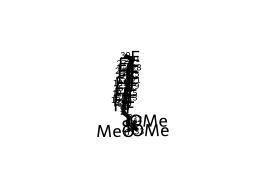 CO[Si](CCCC(F)(F)C(F)(F)C(F)(F)C(F)(F)C(F)(F)C(F)(F)C(F)(F)C(F)(F)C(C)F)(OC)OC